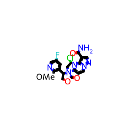 COc1ncc(F)cc1C1COC(=O)[N+]1(CCCl)c1ccn2ncc(C(N)=O)c2n1